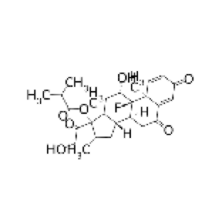 CC(C)C(=O)O[C@@]1(C(=O)CO)[C@@H](C)C[C@H]2[C@@H]3CC(=O)C4=CC(=O)C=C[C@]4(C)[C@@]3(F)[C@@H](O)C[C@@]21C